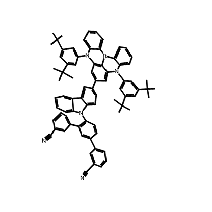 CC(C)(C)c1cc(N2c3ccccc3B3c4ccccc4N(c4cc(C(C)(C)C)cc(C(C)(C)C)c4)c4cc(-c5ccc6c(c5)c5ccccc5n6-c5ccc(-c6cccc(C#N)c6)cc5-c5cccc(C#N)c5)cc2c43)cc(C(C)(C)C)c1